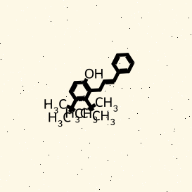 CC(C)(C)c1ccc(O)c(CC=Cc2ccccc2)c1C(C)(C)C